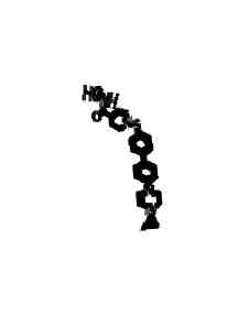 O=C(NO)C1=CCN(Sc2ccc(-c3ccc(N4CCN(C5CC5)CC4)cc3)cc2)CC1